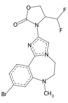 CN1CCn2cc(N3C(=O)OCC3C(F)F)nc2-c2ccc(Br)cc21